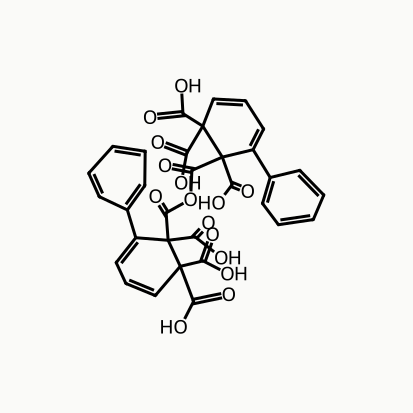 O=C(O)C1(C(=O)O)C=CC=C(c2ccccc2)C1(C(=O)O)C(=O)OC(=O)C1(C(=O)O)C(c2ccccc2)=CC=CC1(C(=O)O)C(=O)O